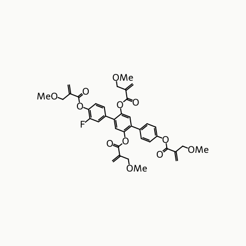 C=C(COC)C(=O)Oc1ccc(-c2cc(OC(=O)C(=C)COC)c(-c3ccc(OC(=O)C(=C)COC)c(F)c3)cc2OC(=O)C(=C)COC)cc1